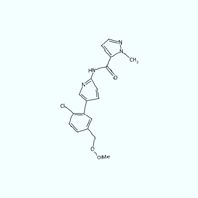 COOCc1ccc(Cl)c(-c2ccc(NC(=O)c3ccnn3C)nc2)c1